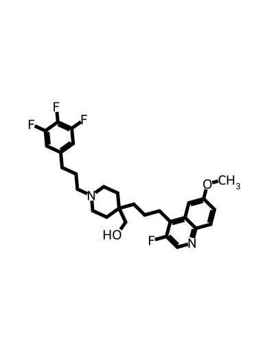 COc1ccc2ncc(F)c(CCCC3(CO)CCN(CCCc4cc(F)c(F)c(F)c4)CC3)c2c1